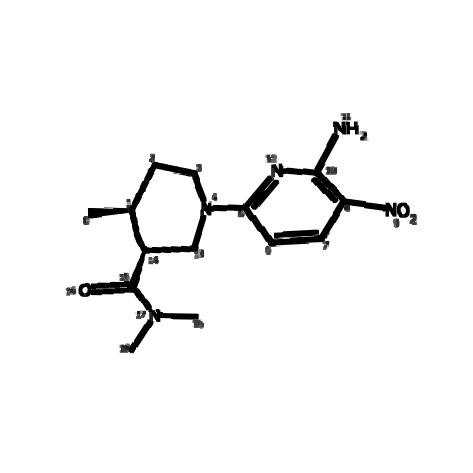 C[C@H]1CCN(c2ccc([N+](=O)[O-])c(N)n2)C[C@H]1C(=O)N(C)C